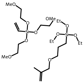 C=C(C)COCCC[Si](OCC)(OCC)OCC.C=C[Si](OCCOC)(OCCOC)OCCOC